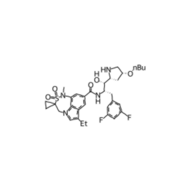 CCCCO[C@H]1CN[C@@H]([C@@H](O)[C@H](Cc2cc(F)cc(F)c2)NC(=O)c2cc3c4c(c2)c(CC)cn4CC2(CC2)S(=O)(=O)N3C)C1